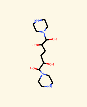 OC(CCC(O)C(O)N1CCNCC1)C(O)N1CCNCC1